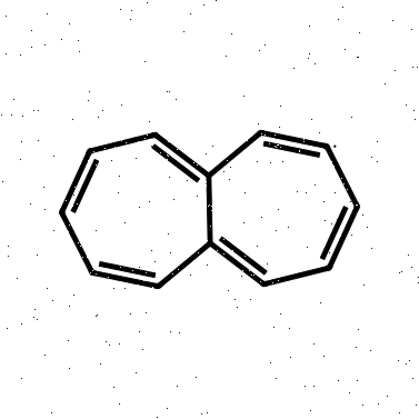 [C]1=CC2=CC=CC=CC2=CC=C1